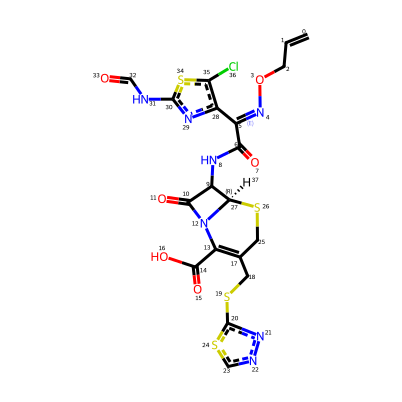 C=CCO/N=C(/C(=O)NC1C(=O)N2C(C(=O)O)=C(CSc3nncs3)CS[C@H]12)c1nc(NC=O)sc1Cl